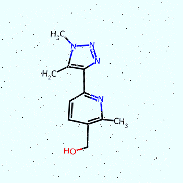 [CH2]c1c(-c2ccc(CO)c(C)n2)nnn1C